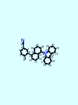 Cc1ccc(C#N)cc1-c1cccc2c(-n3c4ccccc4c4ccccc43)cccc12